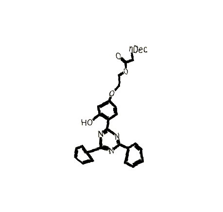 CCCCCCCCCCCC(=O)OCCOc1ccc(-c2nc(-c3ccccc3)nc(-c3ccccc3)n2)c(O)c1